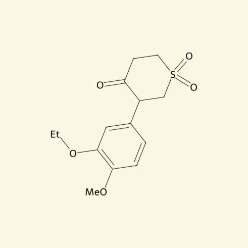 CCOc1cc(C2CS(=O)(=O)CCC2=O)ccc1OC